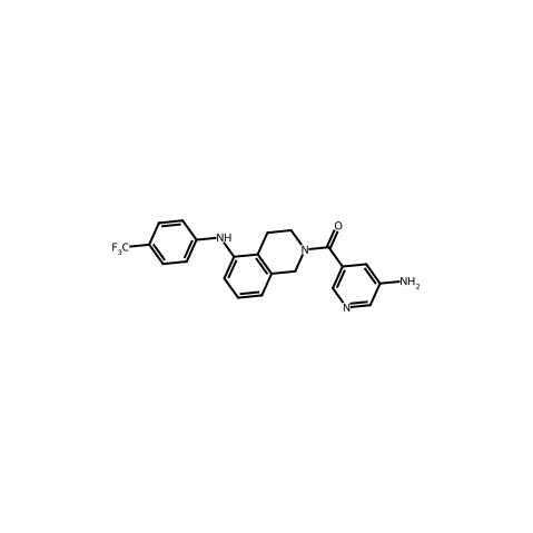 Nc1cncc(C(=O)N2CCc3c(cccc3Nc3ccc(C(F)(F)F)cc3)C2)c1